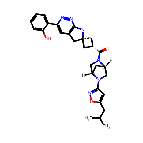 CC(C)Cc1cc(N2C[C@@H]3C[C@H]2CN3C(=O)[C@H]2C[C@@]3(Cc4cc(-c5ccccc5O)nnc4N3)C2)no1